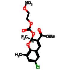 COC(=O)C1=Cc2cc(Cl)cc(C)c2O[C@]1(OC(=O)OCCO[N+](=O)[O-])C(F)(F)F